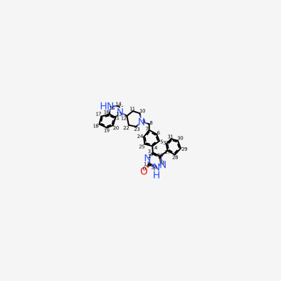 O=c1nc(-c2ccc(CN3CCC(N4[CH]Nc5ccccc54)CC3)cc2)c(-c2ccccc2)n[nH]1